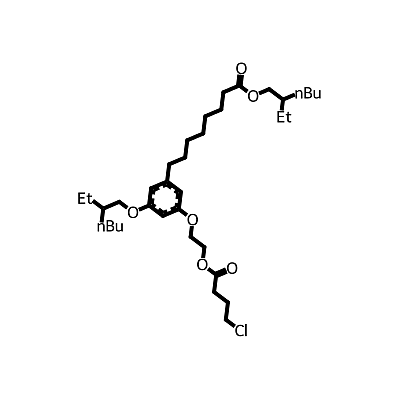 CCCCC(CC)COC(=O)CCCCCCCc1cc(OCCOC(=O)CCCCl)cc(OCC(CC)CCCC)c1